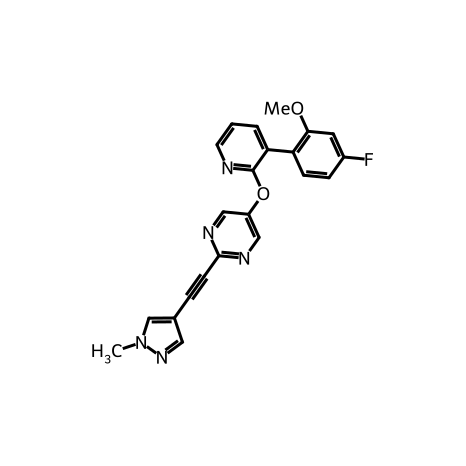 COc1cc(F)ccc1-c1cccnc1Oc1cnc(C#Cc2cnn(C)c2)nc1